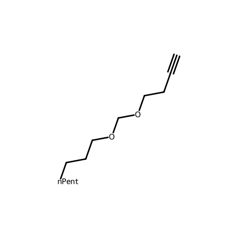 C#CCCOCOCCCCCCCC